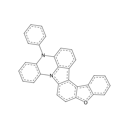 c1ccc(N2c3ccccc3-n3c4ccc5oc6ccccc6c5c4c4cccc2c43)cc1